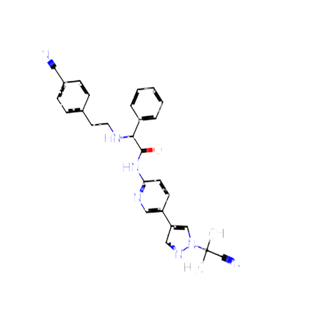 CC(C)(C#N)n1cc(-c2ccc(NC(=O)C(NCCc3ccc(C#N)cc3)c3ccccc3)nc2)cn1